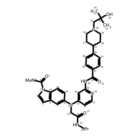 CNC(=O)n1ccc2cc(N(CC(=O)NC(C)C)c3ccnc(NC(=O)c4ccc(C5CCN(CC(C)(C)O)CC5)cc4)c3)ccc21